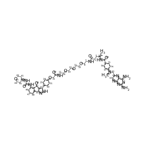 C[C@H](CCC(=O)NCCOCCOCCOCCNC(=O)COc1ccc(-c2[nH]nc3c2C(=O)c2c(NC(=O)NN4CCOCC4)cccc2-3)cc1)NC(=O)c1ccc(N(C)Cc2cnc3nc(N)nc(N)c3n2)cc1